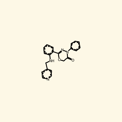 O=C1COC(c2ccccc2NCc2ccncc2)=NN1c1ccccc1